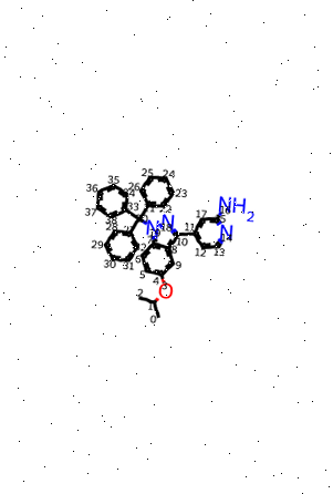 CC(C)Oc1ccc2c(c1)c(-c1ccnc(N)c1)nn2C(c1ccccc1)(c1ccccc1)c1ccccc1